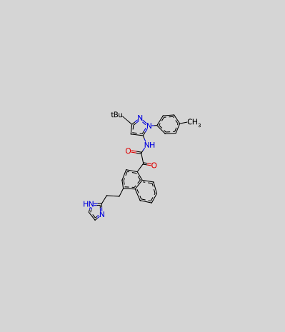 Cc1ccc(-n2nc(C(C)(C)C)cc2NC(=O)C(=O)c2ccc(CCc3ncc[nH]3)c3ccccc23)cc1